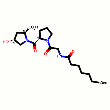 CCCCCCCCCCCCCCCC(=O)NCC(=O)N1CCC[C@H]1C(=O)N1C[C@H](O)C[C@H]1C(=O)O